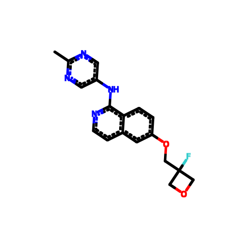 Cc1ncc(Nc2nccc3cc(OCC4(F)COC4)ccc23)cn1